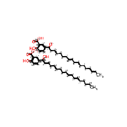 CCCCCCCCCCCCCCCCCC(=O)c1ccc(O)c(C(=O)O)c1.CCCCCCCCCCCCCCCCCC(O)c1ccc(O)c(C(=O)O)c1